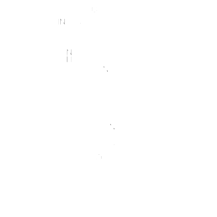 CC1NC(=O)C2(CCCN(C3CCN(C(=O)c4c5ccccc5cc5ccccc45)CC3)C2)N1